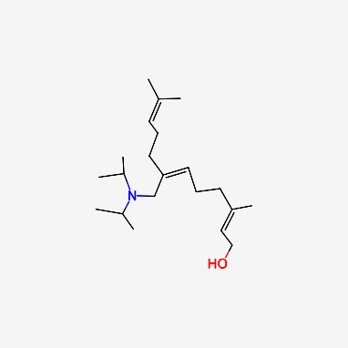 CC(C)=CCCC(=CCCC(C)=CCO)CN(C(C)C)C(C)C